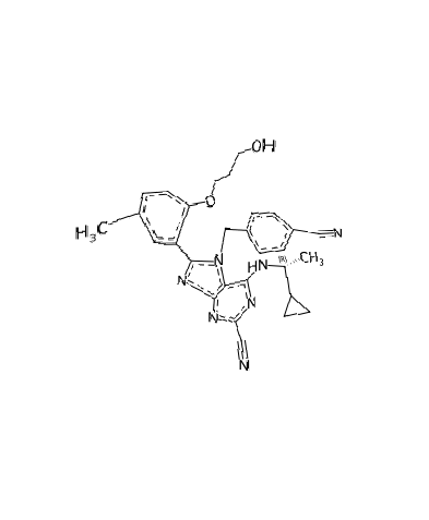 Cc1ccc(OCCCO)c(-c2nc3nc(C#N)nc(N[C@H](C)C4CC4)c3n2Cc2ccc(C#N)cc2)c1